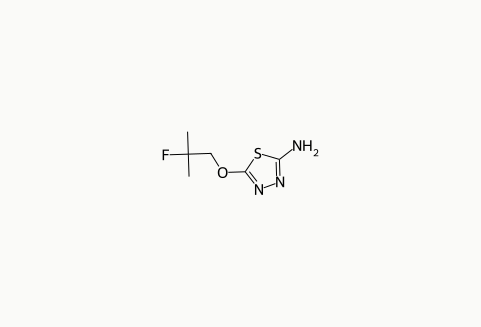 CC(C)(F)COc1nnc(N)s1